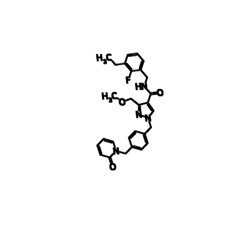 CCc1cccc(CNC(=O)c2cn(Cc3ccc(Cn4ccccc4=O)cc3)nc2COC)c1F